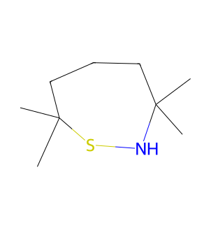 CC1(C)CCCC(C)(C)SN1